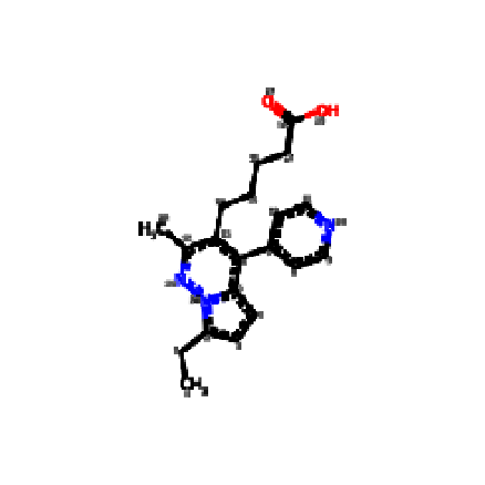 CCc1ccc2c(-c3ccncc3)c(CCCCC(=O)O)c(C)nn12